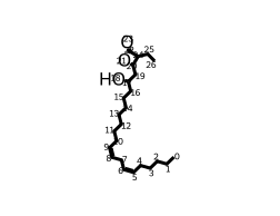 CCCCC/C=C\C/C=C\CCCCCCCC(O)CC1OC(=O)C1CC